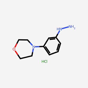 Cl.NNc1cccc(N2CCOCC2)c1